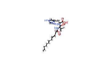 CCCCCCCCCCCC(=O)N[C@H](C(=O)N[C@@H](Cc1c[nH]cn1)C(=O)O)C(C)C